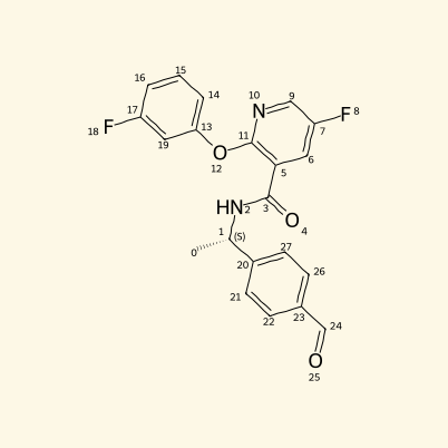 C[C@H](NC(=O)c1cc(F)cnc1Oc1cccc(F)c1)c1ccc(C=O)cc1